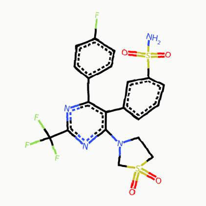 NS(=O)(=O)c1cccc(-c2c(-c3ccc(F)cc3)nc(C(F)(F)F)nc2N2CCS(=O)(=O)C2)c1